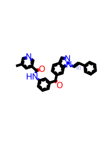 Cc1cncc(C(=O)Nc2cccc(C(=O)c3ccc4cnn(/C=C/c5ccccc5)c4c3)c2)c1